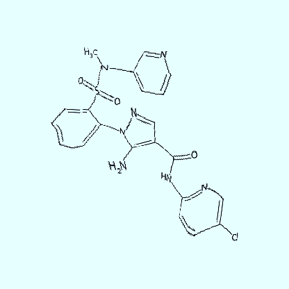 CN(c1cccnc1)S(=O)(=O)c1ccccc1-n1ncc(C(=O)Nc2ccc(Cl)cn2)c1N